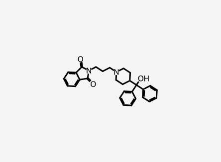 O=C1c2ccccc2C(=O)N1CCCN1CCC(C(O)(c2ccccc2)c2ccccc2)CC1